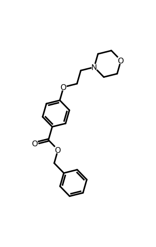 O=C(OCc1ccccc1)c1ccc(OCCN2CCOCC2)cc1